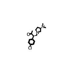 CC(=O)[C@@H](CN1CC[C@H](N(C)C)C1)c1ccc(Cl)cc1